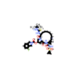 CC(C)(C)NC(=S)N[C@H]1CCCCC/C=C\[C@@H]2C[C@@]2(C(=O)NS(=O)(=O)C2CC2)NC(=O)[C@@H]2C[C@@H](OC(=O)N3Cc4cccc(F)c4C3)CN2C1=O